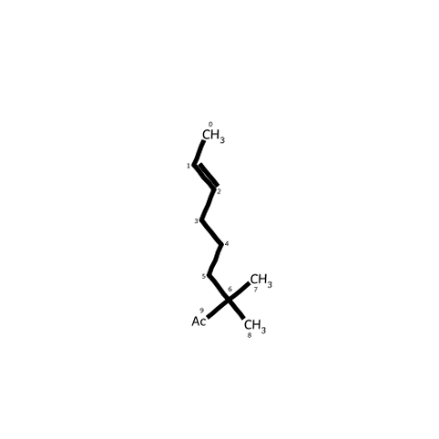 CC=CCCCC(C)(C)C(C)=O